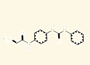 C=CC(=O)Nc1ccc(NC(=O)Nc2ccccc2)cc1